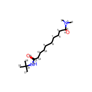 CN(C)C(=O)CCCCCCCCC(=O)NC(C)(C)C